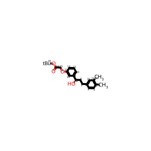 Cc1ccc(CC[C@@H](O)c2cccc(OCC(=O)OC(C)(C)C)c2)cc1C